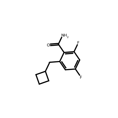 NC(=O)c1c(F)cc(F)cc1[CH]C1CCC1